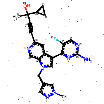 Cn1cc(Cn2cc(-c3nc(N)ncc3F)c3cc(C#CC(C)(O)C4CC4)ncc32)cn1